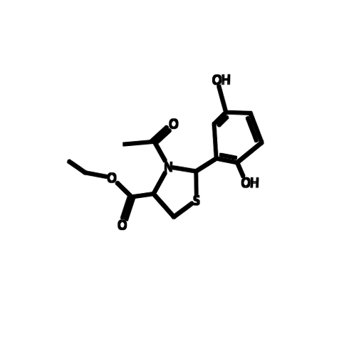 CCOC(=O)C1CSC(c2cc(O)ccc2O)N1C(C)=O